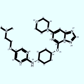 CN(C)CCOc1cnc(N[C@H]2CC[C@@H](Oc3nc(N4CCOCC4)cc4ncnn34)CC2)nc1